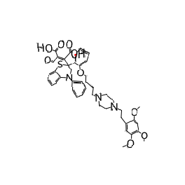 COc1cc(OC)c(OC)cc1CCN1CCN(CCCCOc2ccccc2C2(/C(C(=O)O)=C(\C=O)C(=O)O)CN(c3ccccc3)c3ccccc3S2)CC1